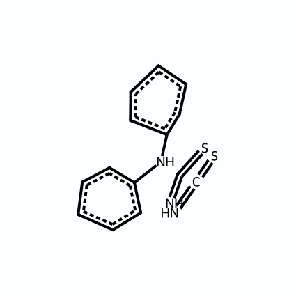 N=C=S.N=C=S.c1ccc(Nc2ccccc2)cc1